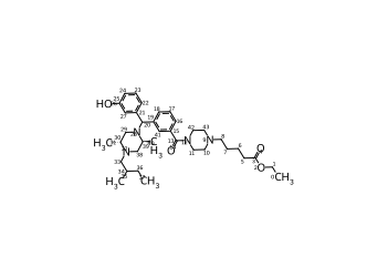 CCOC(=O)CCCCN1CCN(C(=O)c2cccc(C(c3cccc(O)c3)N3C[C@@H](C)N(CC(C)CC)C[C@@H]3C)c2)CC1